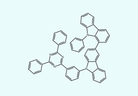 c1ccc(-c2nc(-c3ccccc3)nc(-c3cccc(-n4c5ccccc5c5cc(-c6cccc7c8ccccc8n(-c8ccccc8)c67)ccc54)c3)n2)cc1